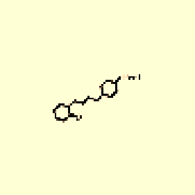 CCCCCC1CCC(CCCCC2CCCCC2=O)CC1